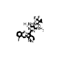 Nc1nc(-c2nn(Cc3c(F)cccc3F)c3nnccc23)nc(N)c1NC(=O)C1(C(F)(F)F)CC1